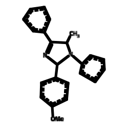 COc1ccc(C2N=C(c3ccccc3)C(C)N2c2ccccc2)cc1